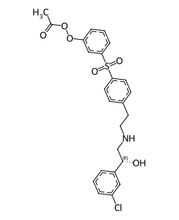 CC(=O)OOc1cccc(S(=O)(=O)c2ccc(CCNC[C@H](O)c3cccc(Cl)c3)cc2)c1